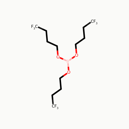 FC(F)(F)CCCOB(OCCCC(F)(F)F)OCCCC(F)(F)F